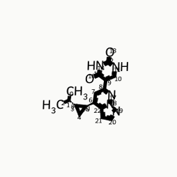 CC(C)[C@H]1C[C@@H]1c1cc(-c2c[nH]c(=O)[nH]c2=O)nn2nccc12